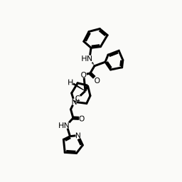 O=C(C[N+]12CCC(CC1)[C@@H](OC(=O)[C@H](Nc1ccccc1)c1ccccc1)C2)Nc1ccccn1